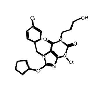 CCn1c(=O)n(CCCO)c(=O)c2c1nc(OC1CCCC1)n2CC1C=CC(Cl)=CC1